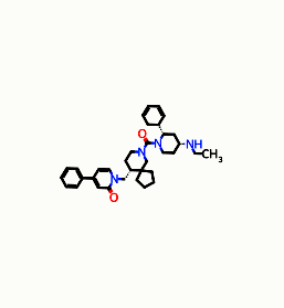 CCN[C@@H]1CCN(C(=O)N2CC[C@@H](Cn3ccc(-c4ccccc4)cc3=O)C3(CCCC3)C2)[C@H](C2C=CC=CC2)C1